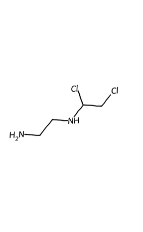 NCCNC(Cl)CCl